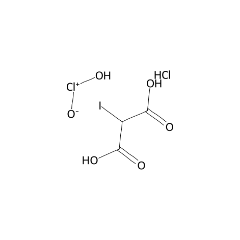 Cl.O=C(O)C(I)C(=O)O.[O-][Cl+]O